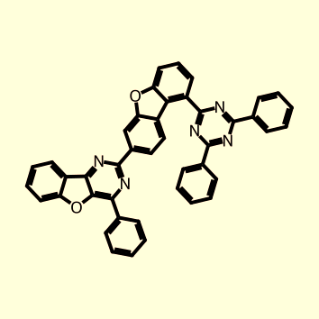 c1ccc(-c2nc(-c3ccccc3)nc(-c3cccc4oc5cc(-c6nc(-c7ccccc7)c7oc8ccccc8c7n6)ccc5c34)n2)cc1